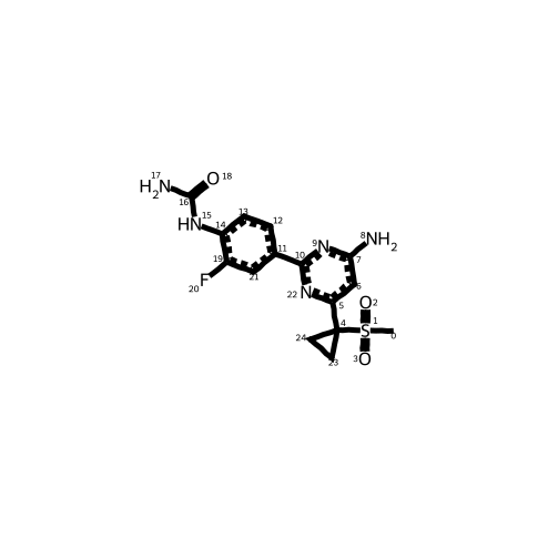 CS(=O)(=O)C1(c2cc(N)nc(-c3ccc(NC(N)=O)c(F)c3)n2)CC1